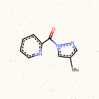 CC(C)(C)c1cnn(C(=O)c2ccccn2)c1